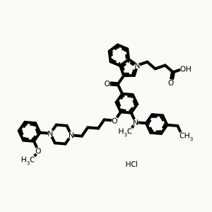 CCc1ccc(N(C)c2ccc(C(=O)c3cn(CCCC(=O)O)c4ccccc34)cc2OCCCCN2CCN(c3ccccc3OC)CC2)cc1.Cl